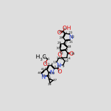 CCOc1cc(C(=O)N2CCC3(CC2)CC(=O)c2cc(-c4cncc(C(=O)O)c4)ccc2O3)nc2c(C3CC3)nccc12